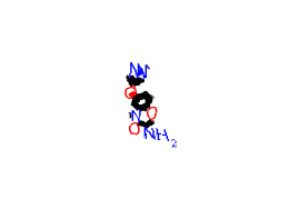 CN1C(=O)[C@@H](N)COc2ccc(Oc3cnn(C)c3)cc21